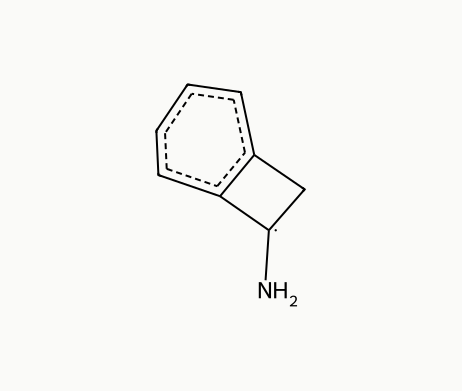 N[C]1Cc2ccccc21